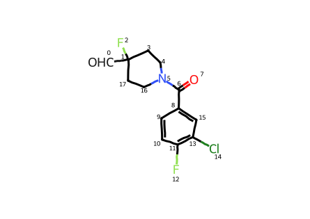 O=CC1(F)CCN(C(=O)c2ccc(F)c(Cl)c2)CC1